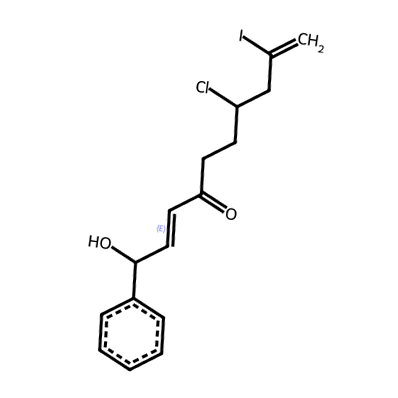 C=C(I)CC(Cl)CCC(=O)/C=C/C(O)c1ccccc1